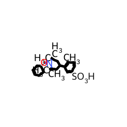 Cc1ccc(S(=O)(=O)O)cc1C1CC(C)(C)N(OC2CC=CCC2)C(C)(C)C1